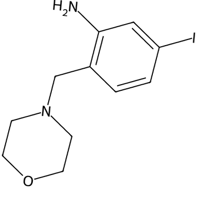 Nc1cc(I)ccc1CN1CCOCC1